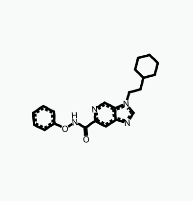 O=C(NOc1ccccc1)c1cc2ncn(CCC3CCCCC3)c2cn1